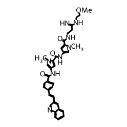 COCCNC(=N)CCNC(=O)c1cc(NC(=O)c2cc(NC(=O)c3ccc(/C=C/c4cnc5ccccc5c4)cc3)cn2C)cn1C